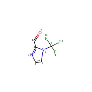 O=Cc1nccn1C(F)(F)F